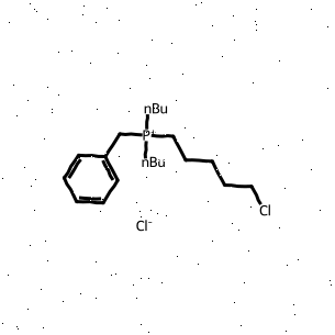 CCCC[P+](CCCC)(CCCCCCl)Cc1ccccc1.[Cl-]